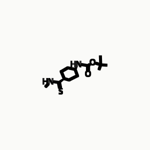 CNC(=S)[C@H]1CC[C@H](NC(=O)OC(C)(C)C)CC1